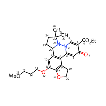 CCOC(=O)c1cn2c(cc1=O)-c1c(cc(OCCCOC)c3c1CCO3)C1CCC(C)(C)N12